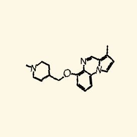 Cc1ccn2c1cnc1c(OCC3CCN(C)CC3)cccc12